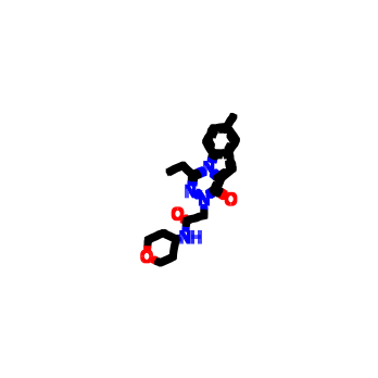 CCc1nn(CC(=O)NC2CCOCC2)c(=O)c2cc3cc(C)ccc3n12